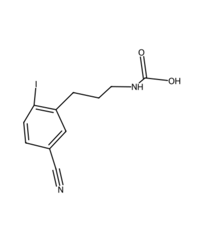 N#Cc1ccc(I)c(CCCNC(=O)O)c1